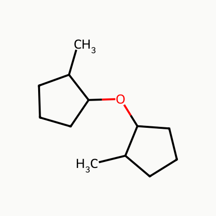 CC1CCCC1OC1CCCC1C